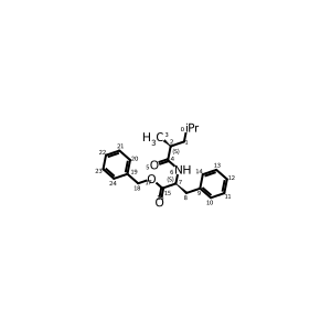 CC(C)C[C@H](C)C(=O)N[C@@H](Cc1ccccc1)C(=O)OCc1ccccc1